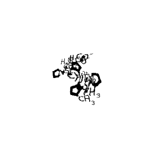 CC1=CC[C]([Hf+2][C]2=C([Si](C)(C)N3CCCC3)C(C)=CC2)=C1[Si](C)(C)N1CCCC1.C[O-].C[O-]